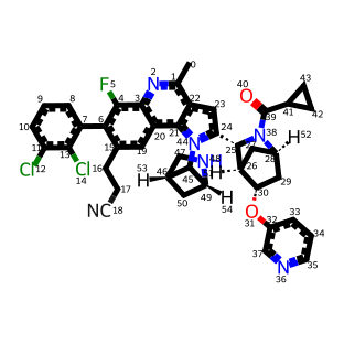 Cc1nc2c(F)c(-c3cccc(Cl)c3Cl)c(CCC#N)cc2c2c1cc([C@H]1[C@H]3C[C@H](C[C@@H]3Oc3cccnc3)N1C(=O)C1CC1)n2C1[C@H]2CN[C@@H]1C2